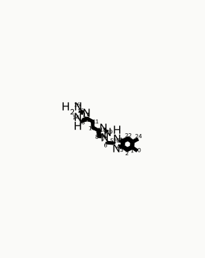 Cc1cc2nc(Cn3cc(CCc4c[nH]c(N)n4)nn3)[nH]c2cc1C